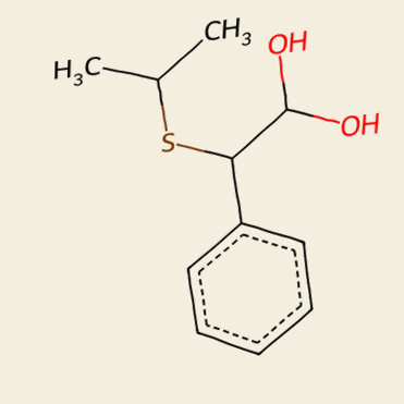 CC(C)SC(c1ccccc1)C(O)O